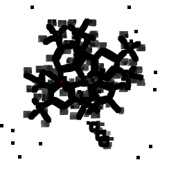 CC1=C(C)[C]([Ti+3])([Si](c2cc([Si](C)(C)C)c([Si](C)(C)C)cc2[Si](C)(C)C)(c2cc([Si](C)(C)C)c([Si](C)(C)C)cc2[Si](C)(C)C)c2cc([Si](C)(C)C)c([Si](C)(C)C)cc2[Si](C)(C)C)C(C)=C1C.[Cl-].[Cl-].[Cl-]